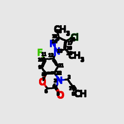 C#CCN1C(=O)COc2cc(F)c(-n3nc(C)c(Cl)c3C)cc21